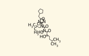 CC(C)CC[C@H](O)C(=O)N(O)C(=O)N(CC(C)(C)C)c1noc(CC2CCCC2)n1